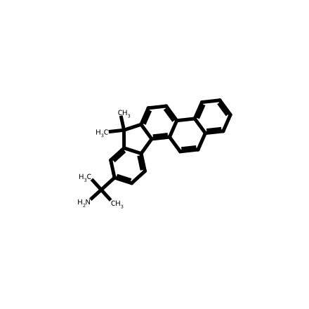 CC(C)(N)c1ccc2c(c1)C(C)(C)c1ccc3c(ccc4ccccc43)c1-2